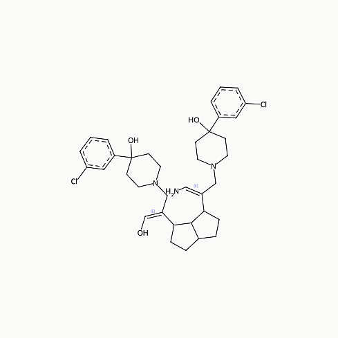 N/C=C(/CN1CCC(O)(c2cccc(Cl)c2)CC1)C1CCC2CCC(/C(=C\O)CN3CCC(O)(c4cccc(Cl)c4)CC3)C21